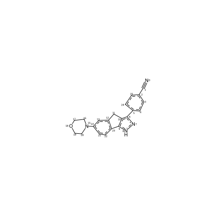 N#Cc1ccc(-c2n[nH]c3c2Cc2cc(N4CCOCC4)ccc2-3)cc1